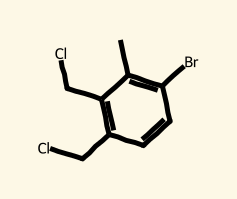 Cc1c(Br)ccc(CCl)c1CCl